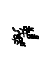 C=C/C=C(\B1OC(C)(C)C(C)(CC)O1)C(C)(C(=O)OC)C(C)OC(C)=O